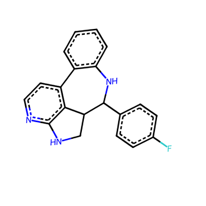 Fc1ccc(C2Nc3ccccc3-c3ccnc4c3C2CN4)cc1